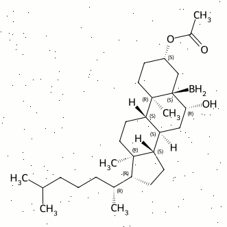 B[C@]12C[C@@H](OC(C)=O)CC[C@]1(C)[C@H]1CC[C@]3(C)[C@@H]([C@H](C)CCCC(C)C)CC[C@H]3[C@@H]1C[C@H]2O